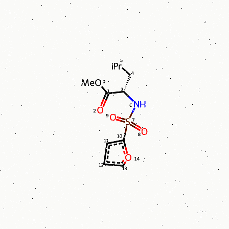 COC(=O)[C@H](CC(C)C)NS(=O)(=O)c1ccco1